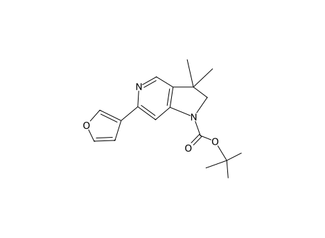 CC(C)(C)OC(=O)N1CC(C)(C)c2cnc(-c3ccoc3)cc21